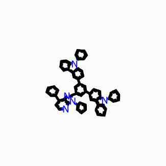 c1ccc(-c2ccnc3c2nc(-c2cc(-c4ccc5c(c4)c4ccccc4n5-c4ccccc4)cc(-c4ccc5c(c4)c4ccccc4n5-c4ccccc4)c2)n3-c2ccccc2)cc1